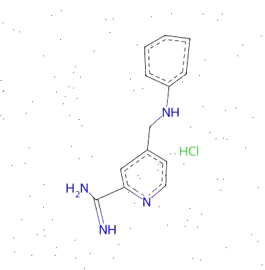 Cl.N=C(N)c1cc(CNc2ccccc2)ccn1